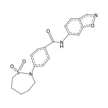 O=C(Nc1ccc2cnoc2c1)c1ccc(N2CCCCCS2(=O)=O)cc1